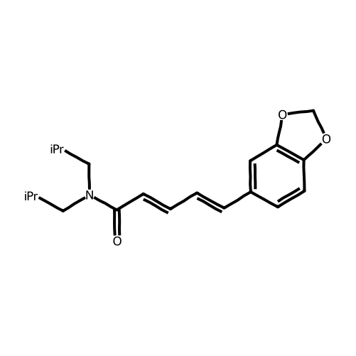 CC(C)CN(CC(C)C)C(=O)C=CC=Cc1ccc2c(c1)OCO2